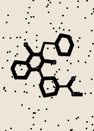 COC(=O)c1cccc(-n2c(=O)n(Cc3ccccc3)c(=O)c3ccccc32)c1